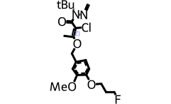 C=NN(C(=O)/C(Cl)=C(\C)OCc1ccc(OCCCF)c(OC)c1)C(C)(C)C